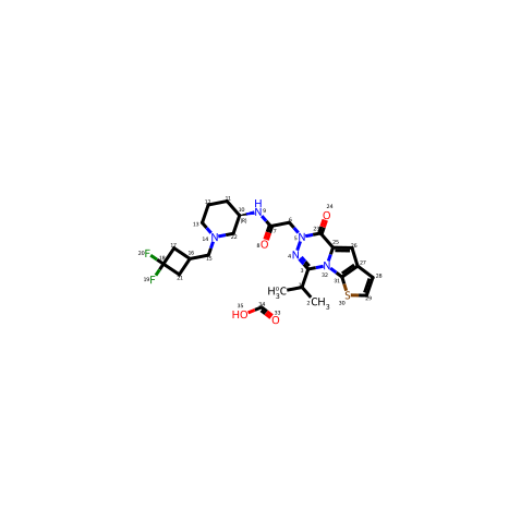 CC(C)c1nn(CC(=O)N[C@@H]2CCCN(CC3CC(F)(F)C3)C2)c(=O)c2cc3ccsc3n12.O=CO